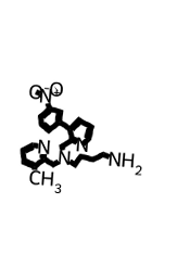 Cc1cccnc1CN(CCCCN)Cc1ncccc1-c1cccc([N+](=O)[O-])c1